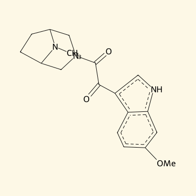 COc1ccc2c(C(=O)C(=O)N3CC4CCC(C3)N4C)c[nH]c2c1